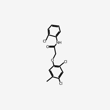 Cc1cc(OCC(=O)Nc2ccccc2Cl)c(Cl)cc1Cl